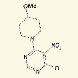 COC1CCN(c2ncnc(Cl)c2[N+](=O)[O-])CC1